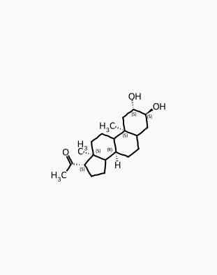 CC(=O)[C@H]1CCC2[C@@H]3CCC4C[C@H](O)[C@@H](O)C[C@]4(C)C3CC[C@@]21C